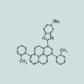 Cc1ccccc1-c1ccc2ccc3c(-c4ccccc4C)cc(-c4nc5cc(C(C)(C)C)ccc5o4)c4ccc1c2c43